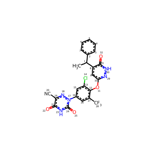 CC(c1ccccc1)c1cc(Oc2c(Cl)cc(-n3nc(C#N)c(=O)[nH]c3=O)cc2C(F)(F)F)n[nH]c1=O